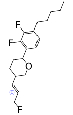 CCCCCc1ccc(C2CCC(/C=C/CF)CO2)c(F)c1F